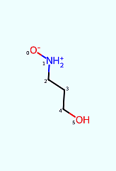 [O-][NH2+]CCCO